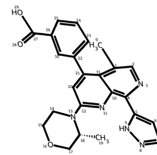 Cc1cnc(-c2ccn[nH]2)c2nc(N3CCOC[C@H]3C)cc(-c3cccc(C(=O)O)c3)c12